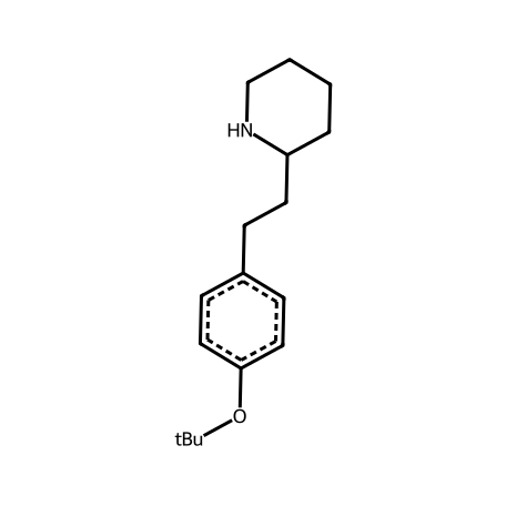 CC(C)(C)Oc1ccc(CCC2CCCCN2)cc1